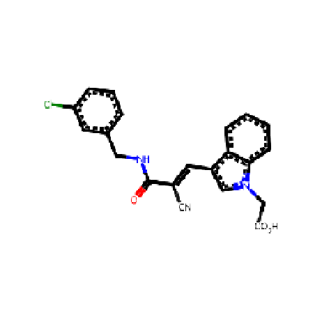 N#C/C(=C\c1cn(CC(=O)O)c2ccccc12)C(=O)NCc1cccc(Cl)c1